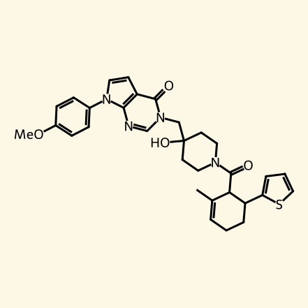 COc1ccc(-n2ccc3c(=O)n(CC4(O)CCN(C(=O)C5C(C)=CCCC5c5cccs5)CC4)cnc32)cc1